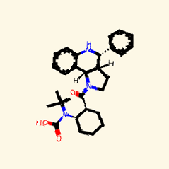 CC(C)(C)N(C(=O)O)[C@@H]1CCCC[C@@H]1C(=O)N1CC[C@H]2[C@@H](c3ccccc3)Nc3ccccc3[C@H]21